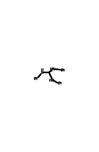 CC(C)NC(NC(C)C)NC(C)C